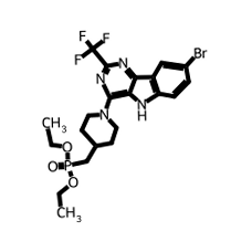 CCOP(=O)(CC1CCN(c2nc(C(F)(F)F)nc3c2[nH]c2ccc(Br)cc23)CC1)OCC